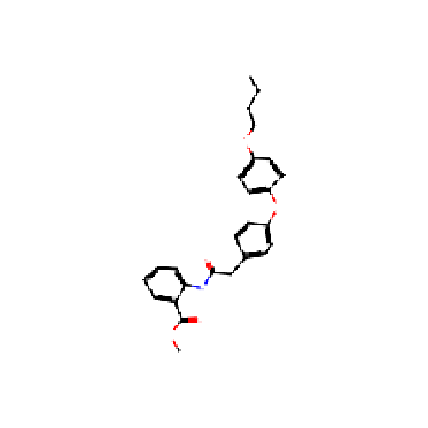 CCCCOc1ccc(Oc2ccc(CC(=O)Nc3ccccc3C(=O)OC)cc2)cc1